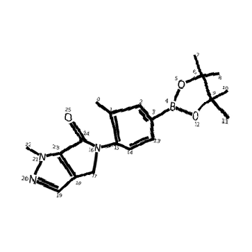 Cc1cc(B2OC(C)(C)C(C)(C)O2)ccc1N1Cc2cnn(C)c2C1=O